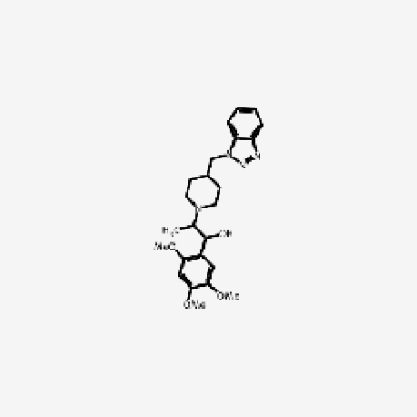 COc1cc(OC)c(C(O)C(C)N2CCC(Cn3nnc4ccccc43)CC2)cc1OC